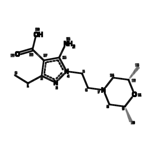 CCc1nn(CCN2C[C@@H](C)O[C@@H](C)C2)c(N)c1C(=O)O